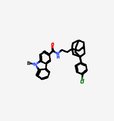 CCn1c2ccccc2c2cc(C(=O)NCCC34CC5CC(C3)CC(c3ccc(Cl)cc3)(C5)C4)ccc21